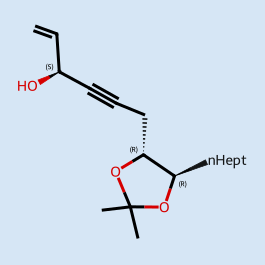 C=C[C@H](O)C#CC[C@H]1OC(C)(C)O[C@@H]1CCCCCCC